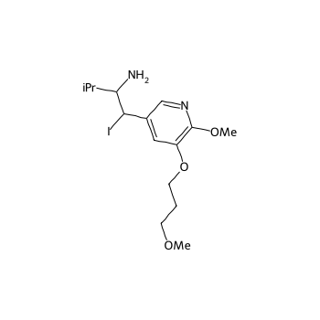 COCCCOc1cc(C(I)C(N)C(C)C)cnc1OC